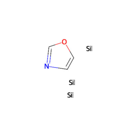 [Si].[Si].[Si].c1cocn1